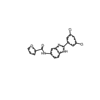 O=C(Nc1ccc2[nH]c(-c3cc(Cl)cc(Cl)c3)nc2c1)c1ccco1